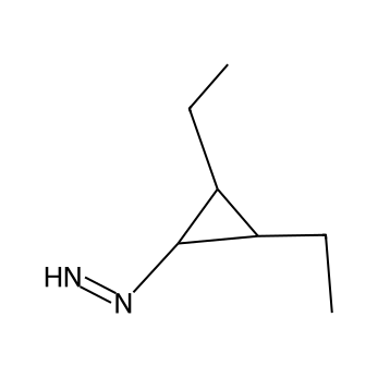 CCC1C(CC)C1N=N